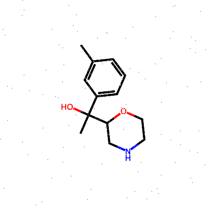 Cc1cccc(C(C)(O)C2CNCCO2)c1